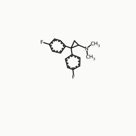 CN(C)C1CC1(c1ccc(F)cc1)c1ccc(F)cc1